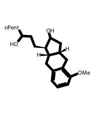 CCCCCC(O)CC[C@H]1C(O)C[C@@H]2Cc3c(cccc3OC)C[C@@H]21